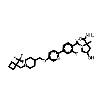 CC1(C(N)=O)CC(O)CN1C(=O)c1ccc(-c2ccc(OCC3CCN(CC4(C(F)(F)F)CCC4)CC3)cn2)cc1F